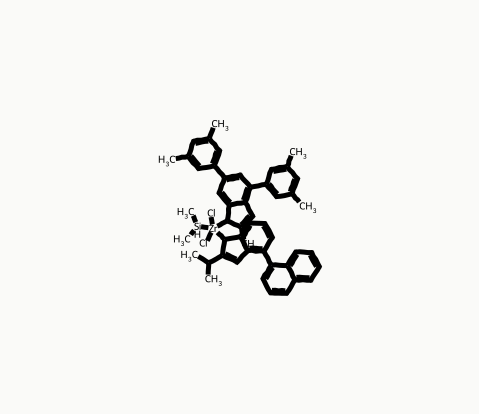 CC1=Cc2c(-c3cc(C)cc(C)c3)cc(-c3cc(C)cc(C)c3)cc2[CH]1[Zr]([Cl])([Cl])([CH]1C(C(C)C)=Cc2c(-c3cccc4ccccc34)cccc21)[SiH](C)C